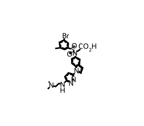 Cc1cc(Br)cc(S(=O)(=O)N(CC(=O)O)c2ccc3c(ccn3-c3ccc(NCCN(C)C)nn3)c2)c1